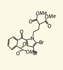 COC(=O)C(CCn1c(C(=O)c2ccccc2S(=O)(=O)OC)cc(Br)c1Br)C(=O)OC